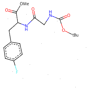 COC(=O)C(Cc1ccc(F)cc1)NC(=O)CNC(=O)OC(C)(C)C